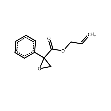 C=CCOC(=O)C1(c2ccccc2)CO1